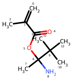 C=C(C)C(=O)OC(C)(N)C(C)(C)C